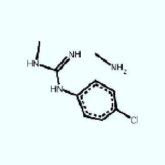 CN.CNC(=N)Nc1ccc(Cl)cc1